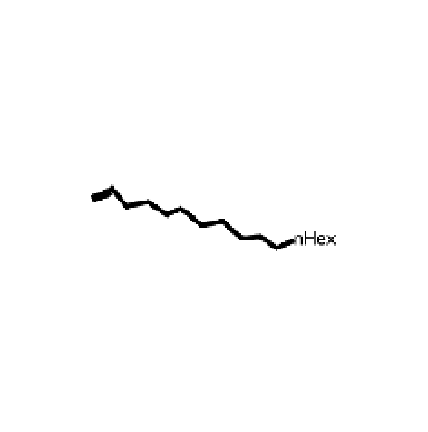 C=[C]CCCCCCCCCCCCCCC